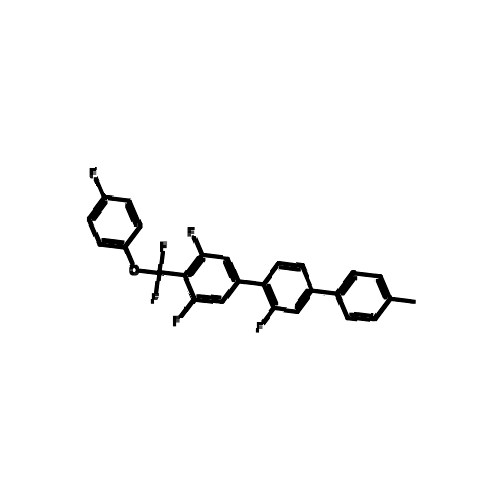 Cc1ccc(-c2ccc(-c3cc(F)c(C(F)(F)Oc4ccc(F)cc4)c(F)c3)c(F)c2)cc1